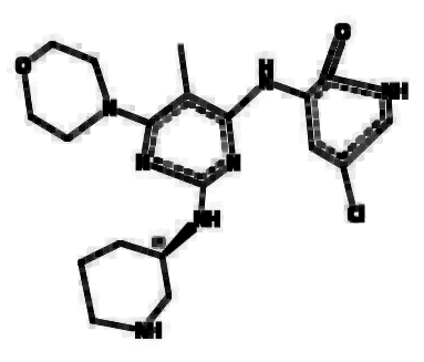 Cc1c(Nc2cc(Cl)c[nH]c2=O)nc(N[C@@H]2CCCNC2)nc1N1CCOCC1